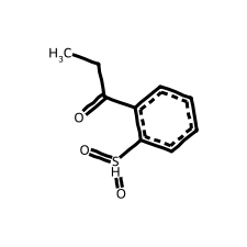 CCC(=O)c1ccccc1[SH](=O)=O